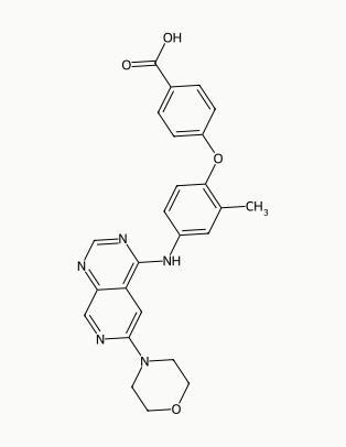 Cc1cc(Nc2ncnc3cnc(N4CCOCC4)cc23)ccc1Oc1ccc(C(=O)O)cc1